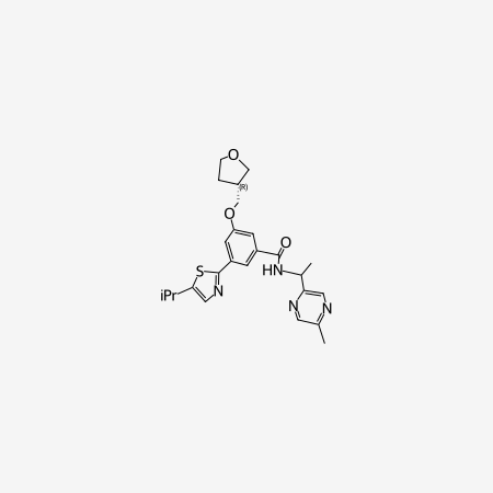 Cc1cnc(C(C)NC(=O)c2cc(OC[C@@H]3CCOC3)cc(-c3ncc(C(C)C)s3)c2)cn1